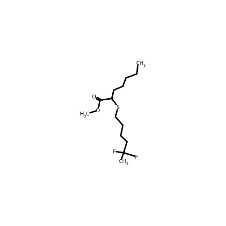 CCCCCC(SCCCCC(C)(F)F)C(=O)OC